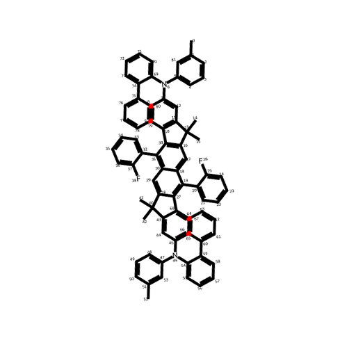 Cc1cccc(N(c2ccc3c(c2)C(C)(C)c2cc4c(-c5ccccc5F)c5c(cc4c(-c4ccccc4F)c2-3)C(C)(C)c2cc(N(c3cccc(C)c3)c3ccccc3-c3ccccc3)ccc2-5)c2ccccc2-c2ccccc2)c1